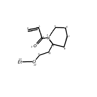 C=CC(=O)N1CCCCC1CCOCC